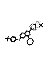 CC(C)(C)C[C@H](NC(=O)c1cc2ccc(Oc3ccc(C(C)(C)C)cc3)cc2c(C2CCCCCC2)n1)C(=O)O